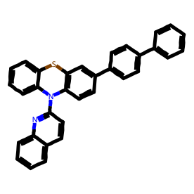 c1ccc(-c2ccc(-c3ccc4c(c3)Sc3ccccc3N4c3ccc4ccccc4n3)cc2)cc1